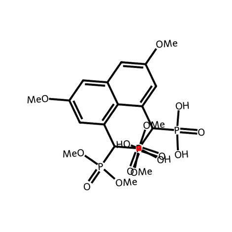 COc1cc(C(P(=O)(O)O)P(=O)(O)O)c2c(C(P(=O)(OC)OC)P(=O)(OC)OC)cc(OC)cc2c1